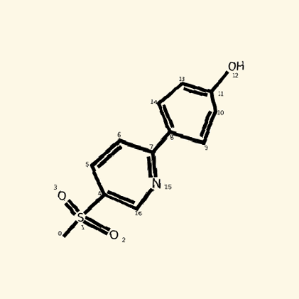 CS(=O)(=O)c1ccc(-c2ccc(O)cc2)nc1